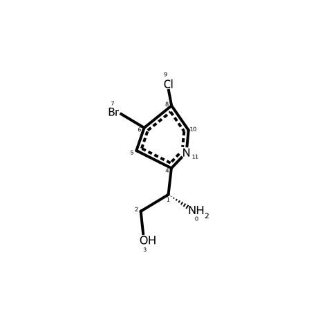 N[C@H](CO)c1cc(Br)c(Cl)cn1